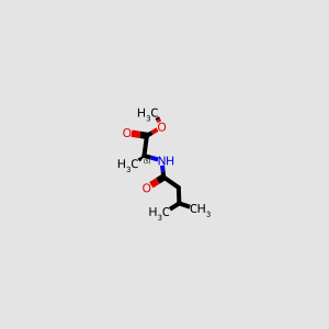 COC(=O)[C@H](C)NC(=O)CC(C)C